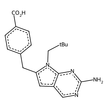 CC(C)(C)Cn1c(Cc2ccc(C(=O)O)cc2)cc2cnc(N)nc21